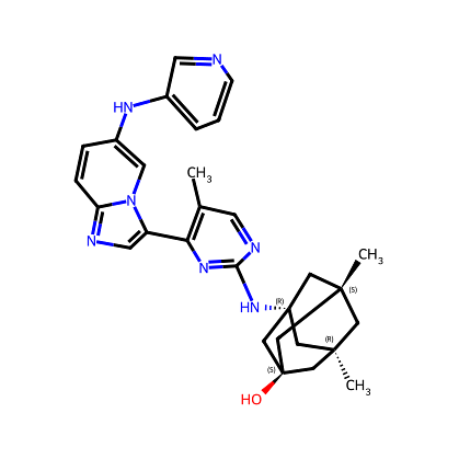 Cc1cnc(N[C@]23C[C@@]4(C)C[C@](C)(C[C@](O)(C4)C2)C3)nc1-c1cnc2ccc(Nc3cccnc3)cn12